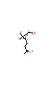 CC(=O)CCC1C(C=O)C1(C)C